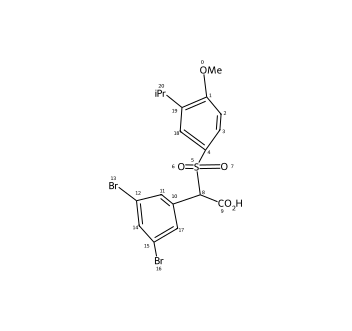 COc1ccc(S(=O)(=O)C(C(=O)O)c2cc(Br)cc(Br)c2)cc1C(C)C